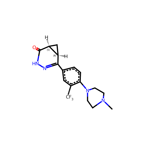 CN1CCN(c2ccc(C3=NNC(=O)[C@H]4C[C@@H]34)cc2C(F)(F)F)CC1